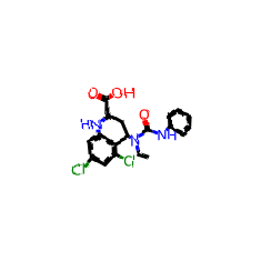 CCN(C(=O)Nc1ccccc1)C1CC(C(=O)O)Nc2cc(Cl)cc(Cl)c21